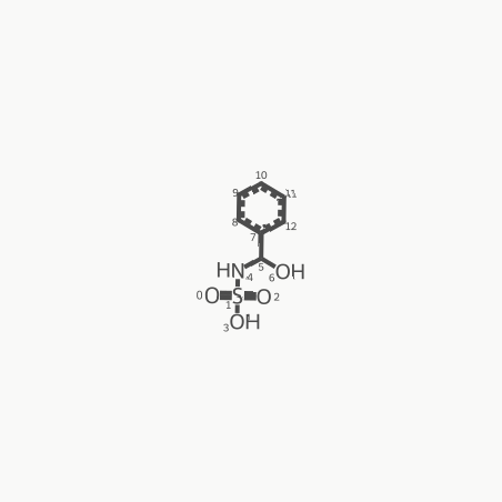 O=S(=O)(O)NC(O)c1ccccc1